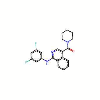 O=C(c1cnc(Nc2cc(F)cc(F)c2)c2ccccc12)N1CCCCC1